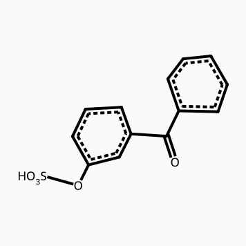 O=C(c1ccccc1)c1cccc(OS(=O)(=O)O)c1